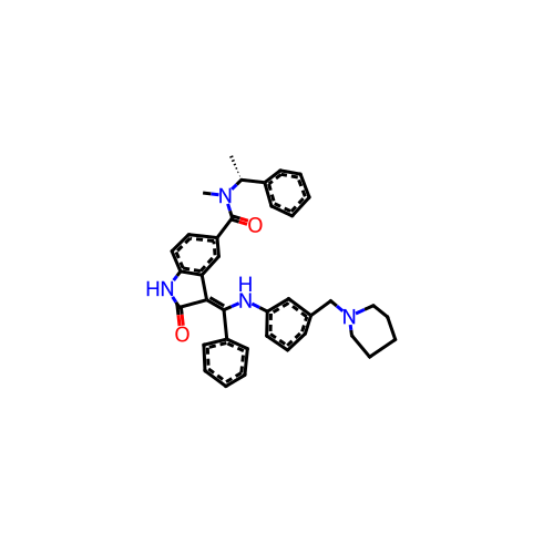 C[C@H](c1ccccc1)N(C)C(=O)c1ccc2c(c1)C(=C(Nc1cccc(CN3CCCCC3)c1)c1ccccc1)C(=O)N2